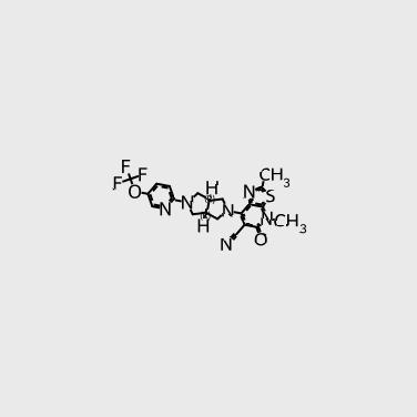 Cc1nc2c(N3C[C@@H]4CN(c5ccc(OC(F)(F)F)cn5)C[C@H]4C3)c(C#N)c(=O)n(C)c2s1